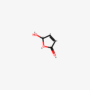 O=C1C=[C]C(O)O1